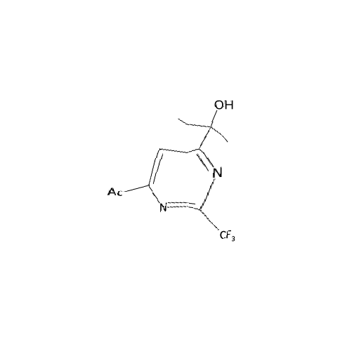 CC(=O)c1cc(C(C)(C)O)nc(C(F)(F)F)n1